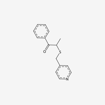 CC(SCc1ccncc1)C(=O)c1ccccc1